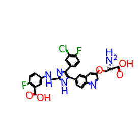 N[C@@H](COc1cnc2ccc(-c3[nH]c(CNc4ccc(F)c(C(=O)O)c4)nc3-c3ccc(F)c(Cl)c3)cc2c1)C(=O)O